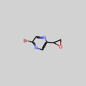 Brc1cnc(C2CO2)cn1